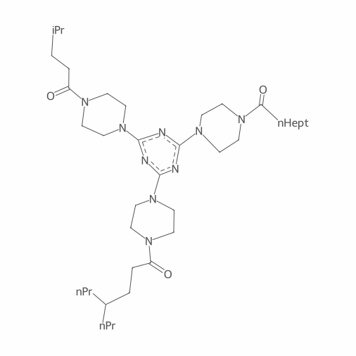 CCCCCCCC(=O)N1CCN(c2nc(N3CCN(C(=O)CCC(C)C)CC3)nc(N3CCN(C(=O)CCC(CCC)CCC)CC3)n2)CC1